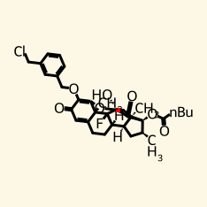 CCCCC(=O)O[C@]12C(=O)COC3=C(OCc4cccc(CCl)c4)C(=O)C=C4CC[C@H]5[C@H](C[C@@H]1C)[C@@]2(C)C[C@@H](O)C5(F)[C@]43C